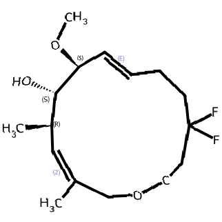 CO[C@H]1/C=C/CCC(F)(F)CCOC/C(C)=C\[C@@H](C)[C@@H]1O